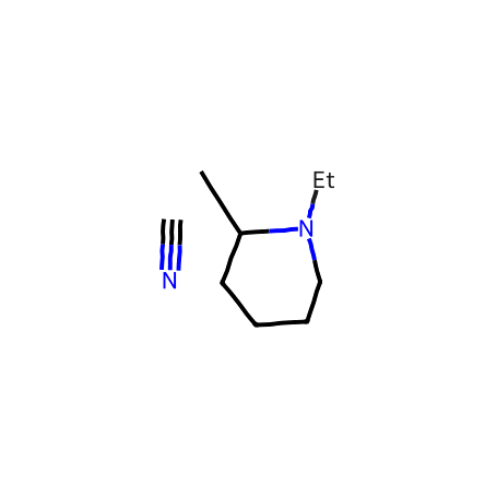 C#N.CCN1CCCCC1C